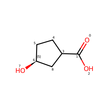 O=C(O)C1CC[C@H](O)C1